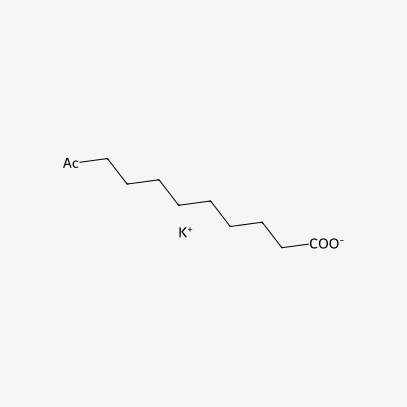 CC(=O)CCCCCCCCC(=O)[O-].[K+]